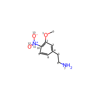 COc1cc(CCN)ccc1[N+](=O)[O-]